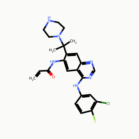 C=CC(=O)Nc1cc2c(Nc3ccc(F)c(Cl)c3)ncnc2cc1C(C)(C)N1CCNCC1